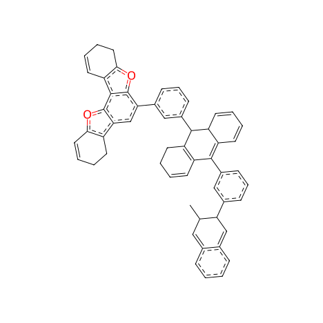 CC1C=c2ccccc2=CC1c1cccc(C2=C3C=CC=CC3C(c3cccc(-c4cc5c6c(oc5c5c7c(oc45)CCC=C7)C=CCC6)c3)C3=C2C=CCC3)c1